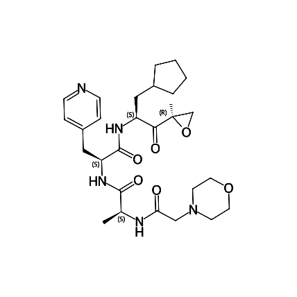 C[C@H](NC(=O)CN1CCOCC1)C(=O)N[C@@H](Cc1ccncc1)C(=O)N[C@@H](CC1CCCC1)C(=O)[C@@]1(C)CO1